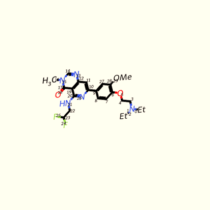 CCN(CC)CCOc1ccc(-c2cc3ncn(C)c(=O)c3c(NCC(F)F)n2)cc1OC